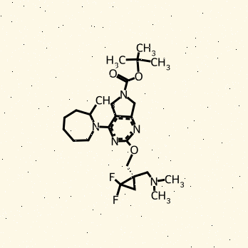 CC1CCCCCN1c1nc(OC[C@]2(CN(C)C)CC2(F)F)nc2c1CN(C(=O)OC(C)(C)C)C2